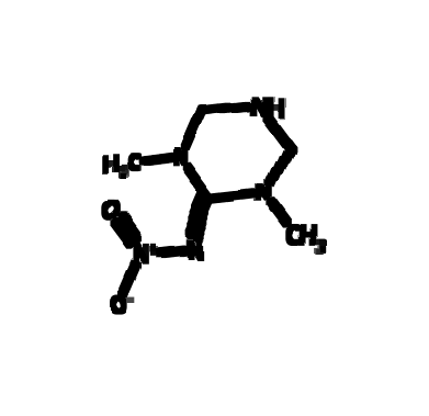 CN1CNCN(C)C1=N[N+](=O)[O-]